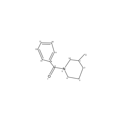 [CH2]C1CCCN(C(=O)c2ccccc2)C1